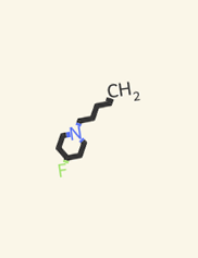 C=CCCCN1CCC(F)CC1